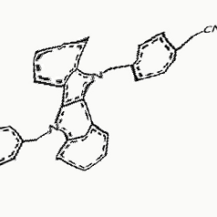 N#Cc1ccc(-n2c3ccccc3c3c2c2ccccc2n3-c2ccccc2)cc1